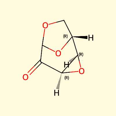 O=C1C2OC[C@@H](O2)[C@H]2O[C@@H]12